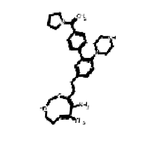 C=C(c1ccc(-c2cc(CC/C3=C(N)/C(C)=C/CCNCS3)ccc2N2CCNCC2)cc1)N1CCCC1